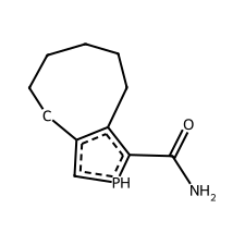 NC(=O)c1[pH]cc2c1CCCCCC2